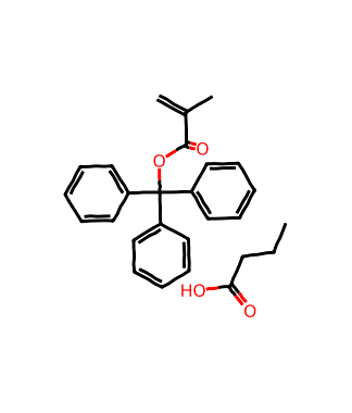 C=C(C)C(=O)OC(c1ccccc1)(c1ccccc1)c1ccccc1.CCCC(=O)O